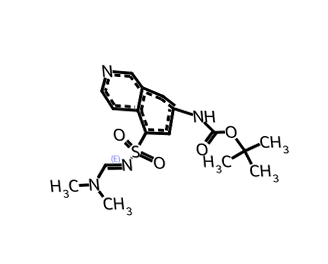 CN(C)/C=N/S(=O)(=O)c1cc(NC(=O)OC(C)(C)C)cc2cnccc12